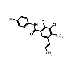 CC=Cc1cc(C(=O)Nc2ccc(Br)cc2)c(O)c(Cl)c1[N+](=O)[O-]